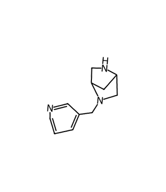 c1cncc(CN2CC3CC2CN3)c1